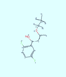 CC(CC(O)c1cc(F)ccc1F)O[Si](C)(C)C(C)(C)C